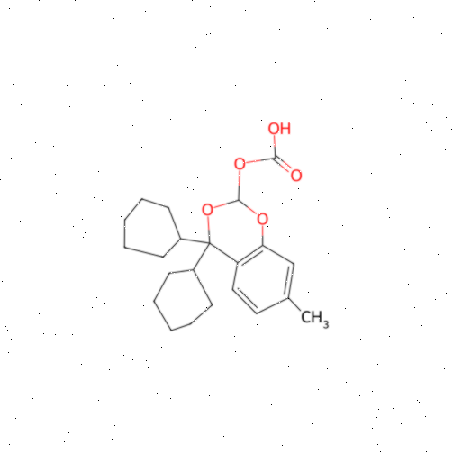 Cc1ccc2c(c1)OC(OC(=O)O)OC2(C1CCCCC1)C1CCCCC1